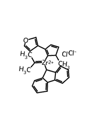 C[C](C)=[Zr+2]([C]1=C(c2ccoc2)C=CC1C)[CH]1c2ccccc2-c2ccccc21.[Cl-].[Cl-]